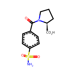 NS(=O)(=O)c1ccc(C(=O)N2CCC[C@H]2C(=O)O)cc1